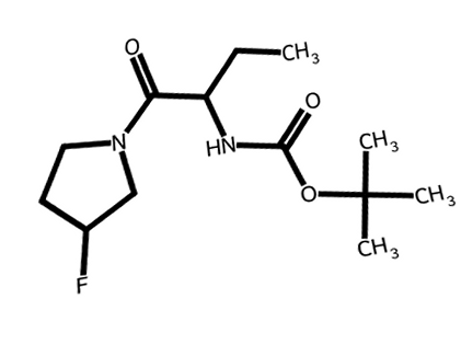 CCC(NC(=O)OC(C)(C)C)C(=O)N1CCC(F)C1